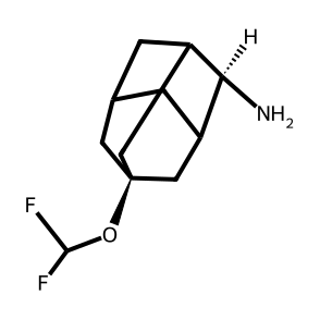 N[C@H]1C2CC3CC1C[C@@](OC(F)F)(C3)C2